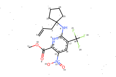 C=CCC1(Nc2nc(C(=O)OC)c([N+](=O)[O-])cc2C(F)(F)F)CCCC1